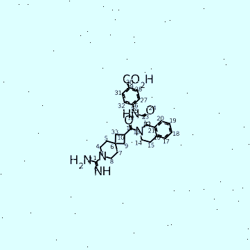 N=C(N)N1CCC2(CC1)CC(C(=O)N1CCc3ccccc3[C@H]1C(=O)Nc1ccc(C(=O)O)cc1)C2